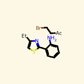 CC(=O)CCBr.CCc1csc(-c2ccccc2N)n1